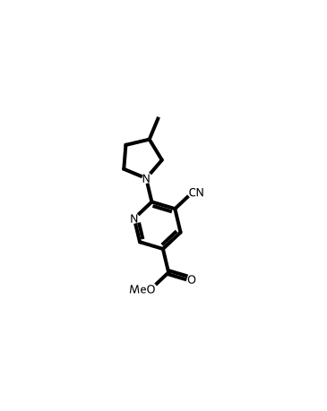 COC(=O)c1cnc(N2CCC(C)C2)c(C#N)c1